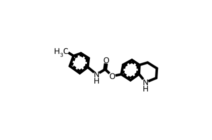 Cc1ccc(NC(=O)Oc2ccc3c(c2)NCCC3)cc1